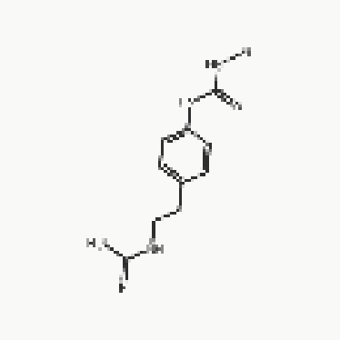 [CH2]CNC(=O)Nc1ccc(CCNC(=N)N)cc1